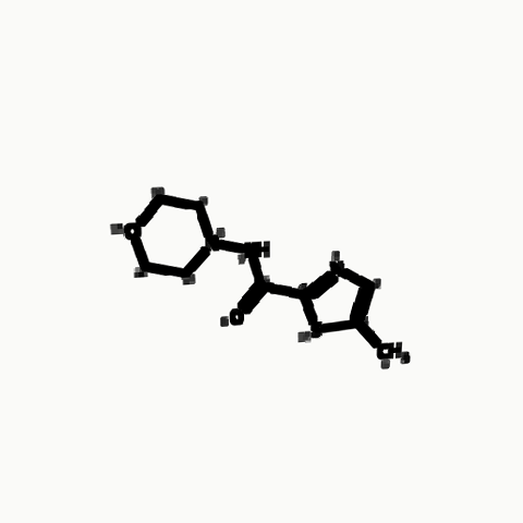 Cc1cnc(C(=O)NN2CCOCC2)s1